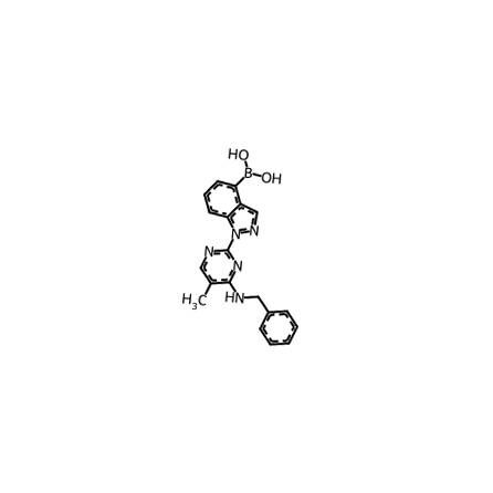 Cc1cnc(-n2ncc3c(B(O)O)cccc32)nc1NCc1ccccc1